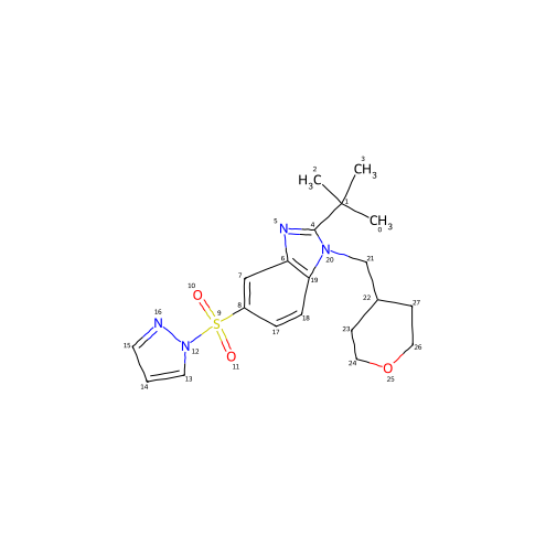 CC(C)(C)c1nc2cc(S(=O)(=O)n3cccn3)ccc2n1CC1CCOCC1